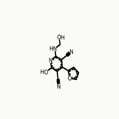 N#Cc1c(O)nc(NCO)c(C#N)c1-c1ccco1